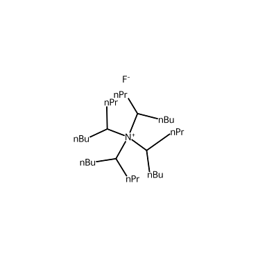 CCCCC(CCC)[N+](C(CCC)CCCC)(C(CCC)CCCC)C(CCC)CCCC.[F-]